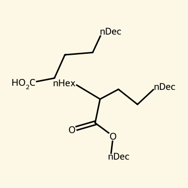 CCCCCCCCCCCCC(CCCCCC)C(=O)OCCCCCCCCCC.CCCCCCCCCCCCCC(=O)O